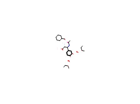 CCC(C)OC(=O)Oc1ccc(C(CC(C)OC(=O)C2CCCCC2)[C@H](N)C(=O)O)cc1OC(=O)OC(C)CC